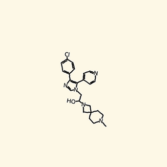 CN1CCC2(CC1)CN(C(O)Cn1cnc(-c3ccc(Cl)cc3)c1-c1ccncc1)C2